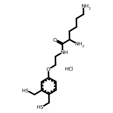 Cl.NCCCCC(N)C(=O)NCCOc1ccc(CS)c(CS)c1